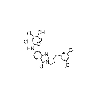 COc1cc(C=C2CCn3c2nc2cc(NC(=O)/C(Cl)=C(/Cl)C(=O)O)ccc2c3=O)cc(OC)c1